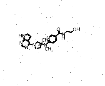 CN(c1ccc(C(=O)NCCO)cn1)[C@]1(C)CCN(c2ncnc3[nH]ccc23)C1